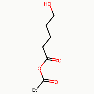 CCC(=O)OC(=O)CCCCO